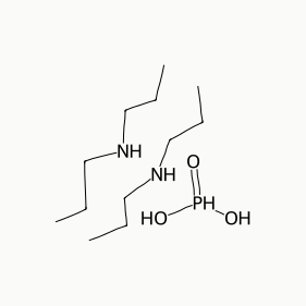 CCCNCCC.CCCNCCC.O=[PH](O)O